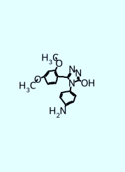 COc1ccc(-c2nnc(O)n2-c2ccc(N)cc2)c(OC)c1